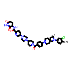 C[C@H]1CC2(CCN(c3ccc(C(=O)N4CCC(N5CCN(c6ccc(C(=O)NC7CCC(=O)NC7=O)nc6)CC5)CC4)cc3)CC2)CN1c1ccc(C#N)c(Cl)c1